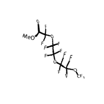 COC(=O)C(F)(F)OC(F)(F)C(F)(F)OC(F)(F)C(F)(F)OC(F)(F)F